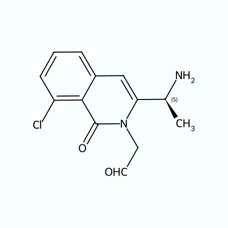 C[C@H](N)c1cc2cccc(Cl)c2c(=O)n1CC=O